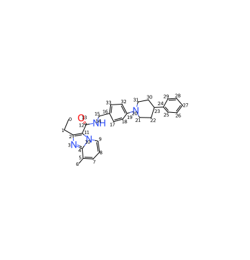 CCc1nc2c(C)cccn2c1C(=O)NCc1ccc(N2CCC(c3ccccc3)CC2)cc1